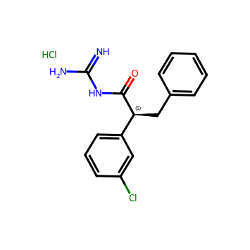 Cl.N=C(N)NC(=O)[C@@H](Cc1ccccc1)c1cccc(Cl)c1